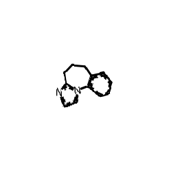 c1ccc2c(c1)CCCc1nccn1-2